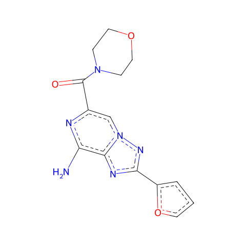 Nc1nc(C(=O)N2CCOCC2)cn2nc(-c3ccco3)nc12